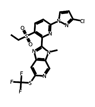 CCS(=O)(=O)c1ccc(-n2ccc(Cl)n2)nc1-c1nc2cc(SC(F)(F)F)ncc2n1C